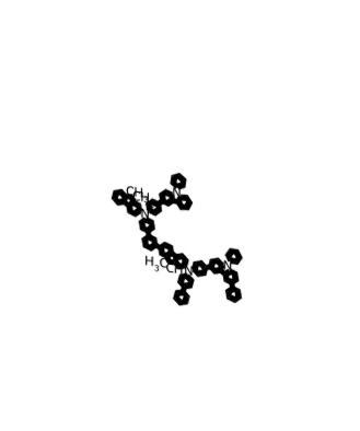 CC1(C)c2ccccc2-c2ccc(N(c3ccc(-c4cccc(-c5ccc6c(c5)C(C)(C)c5cc(N(c7ccc(-c8ccccc8)cc7)c7ccc(-c8ccc9c(c8)c8cc(-c%10ccccc%10)ccc8n9-c8ccccc8)cc7)ccc5-6)c4)cc3)c3ccc(-c4ccc5c(c4)c4ccccc4n5-c4ccccc4)cc3)cc21